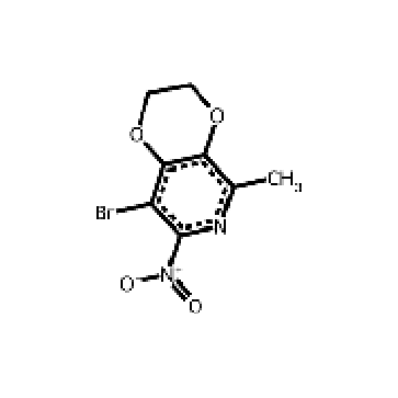 Cc1nc([N+](=O)[O-])c(Br)c2c1OCCO2